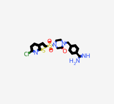 N=C(N)c1ccc(CN2CCN(S(=O)(=O)c3cc4ccc(Cl)nc4s3)CC2=O)cc1